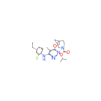 CCc1ccc(Nc2ncnc(OCC34CCN(C(=O)OC(C)C)CC3C4)c2C)c(F)c1